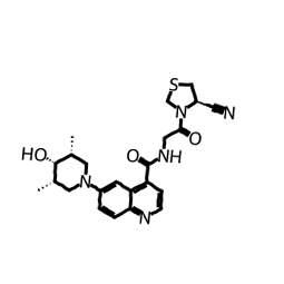 C[C@@H]1CN(c2ccc3nccc(C(=O)NCC(=O)N4CSC[C@H]4C#N)c3c2)C[C@H](C)[C@@H]1O